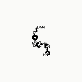 COCCOc1ccc(-n2nnc3cnc(Nc4cnn(C5CCNC5)c4)nc32)cc1